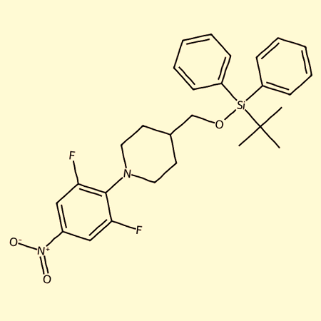 CC(C)(C)[Si](OCC1CCN(c2c(F)cc([N+](=O)[O-])cc2F)CC1)(c1ccccc1)c1ccccc1